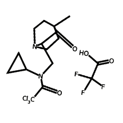 CC12CCN(CC1)C(CN(C(=O)C(Cl)(Cl)Cl)C1CC1)C2=O.O=C(O)C(F)(F)F